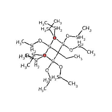 CCC([Si](O[SiH2]C)(O[SiH2]C)O[SiH2]C)([Si](O[SiH2]C)(O[SiH2]C)O[SiH2]C)[Si](O[SiH2]C)(O[SiH2]C)O[SiH2]C